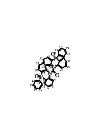 O=C1N2c3ccccc3[P@](=O)(c3ccccc3)c3ccc4ccc5c(c4c32)N1c1ccccc1[P@]5(=O)c1ccccc1